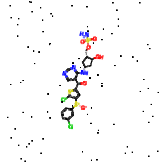 NS(=O)(=O)OC[C@H]1C[C@@H](Nc2ncncc2C(=O)c2cc([S@+]([O-])c3cccc(Cl)c3)c(Cl)s2)C[C@@H]1O